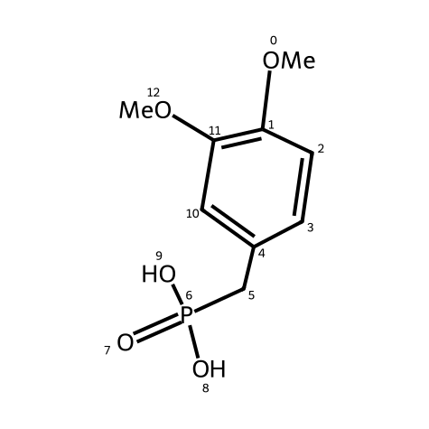 COc1ccc(CP(=O)(O)O)cc1OC